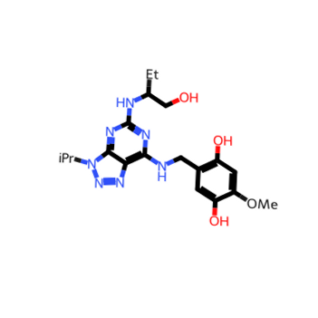 CCC(CO)Nc1nc(NCc2cc(O)c(OC)cc2O)c2nnn(C(C)C)c2n1